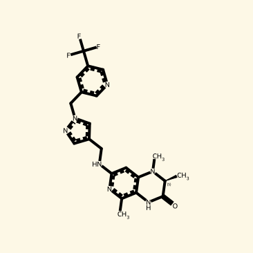 Cc1nc(NCc2cnn(Cc3cncc(C(F)(F)F)c3)c2)cc2c1NC(=O)[C@H](C)N2C